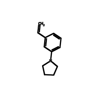 C=Cc1cccc(N2CCCC2)c1